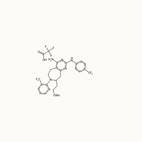 COCCC1Cc2nc(Nc3ccc(C(F)(F)F)cc3)nc(N)c2CCN1c1ncccc1C(F)(F)F.O=C(O)C(F)(F)F